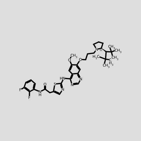 COc1cc2c(Nc3ncc(CC(=O)Nc4cccc(F)c4F)s3)ncnc2cc1OCCCN1CCC[C@H]1[C](C(C)(C)C)C(C)(C)C